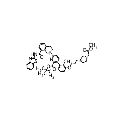 COC(=O)CN1CC[C@H](CCCOc2cccc(-c3ccc(N4CCc5cccc(C(=O)Nc6nc7ccccc7s6)c5C4)nc3C(=O)OC(C)(C)C)c2C)C1